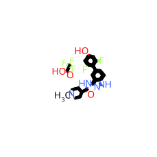 CN1CCC(C(=O)Nc2n[nH]c3ccc(-c4c(F)cc(O)cc4F)cc23)CC1.O=C(O)C(F)(F)F